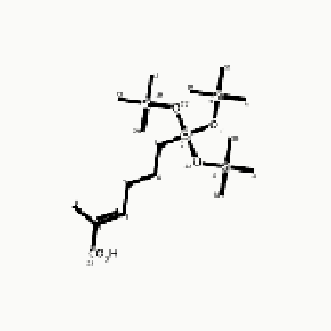 CC(=CCCC[Si](O[Si](C)(C)C)(O[Si](C)(C)C)O[Si](C)(C)C)C(=O)O